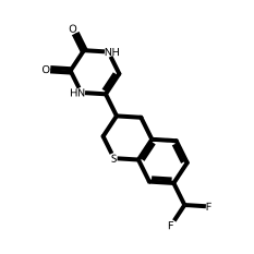 O=c1[nH]cc(C2CSc3cc(C(F)F)ccc3C2)[nH]c1=O